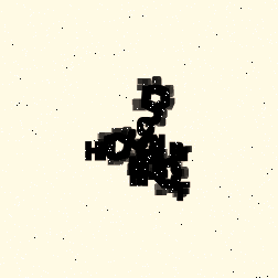 CC1(c2c(OCc3ccccc3)nn(-c3c(Br)cc(F)cc3Br)c2N)CCNCC1